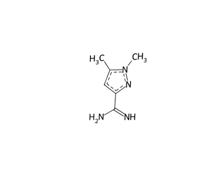 Cc1cc(C(=N)N)nn1C